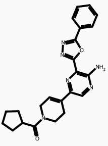 Nc1ncc(C2=CCN(C(=O)C3CCCC3)CC2)nc1-c1nnc(-c2ccccc2)o1